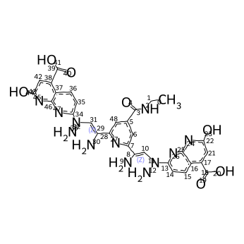 CCNC(=O)c1cc(/C(N)=C/N(N)c2ccc3c(C(=O)O)cc(O)nc3n2)nc(/C(N)=C/N(N)c2ccc3c(C(=O)O)cc(O)nc3n2)c1